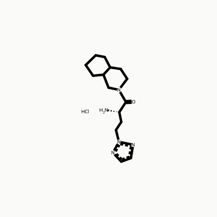 Cl.N[C@@H](CCn1nccn1)C(=O)N1CCC2CCCCC2C1